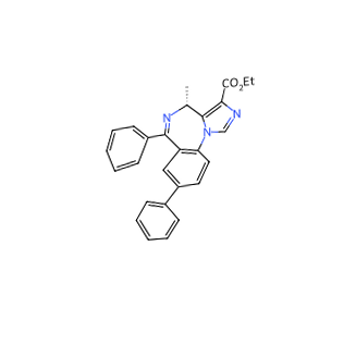 CCOC(=O)c1ncn2c1[C@@H](C)N=C(c1ccccc1)c1cc(-c3ccccc3)ccc1-2